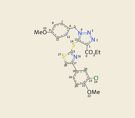 CCOC(=O)c1nnn(Cc2ccc(OC)cc2)c1Sc1nc(-c2ccc(OC)c(Cl)c2)cs1